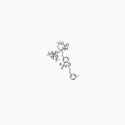 Cc1cccc(CCCOc2ccc(CCC3(COP(=O)(OC(C)(C)C)OC(C)(C)C)CCC(C)(C)OC(=O)N3)cc2C(F)(F)F)c1